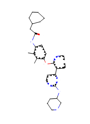 Cc1c(NC(=O)CC2CCCCC2)ccc(Oc2ncccc2-c2ccnc(NC3CCCNC3)n2)c1C